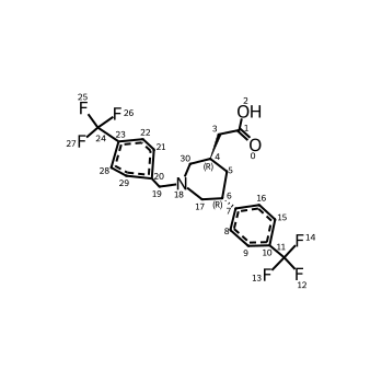 O=C(O)C[C@H]1C[C@H](c2ccc(C(F)(F)F)cc2)CN(Cc2ccc(C(F)(F)F)cc2)C1